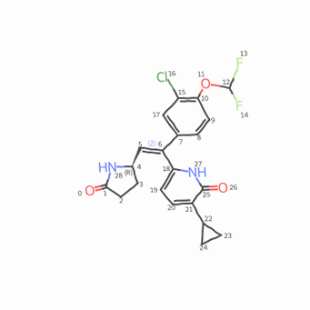 O=C1CC[C@H](/C=C(/c2ccc(OC(F)F)c(Cl)c2)c2ccc(C3CC3)c(=O)[nH]2)N1